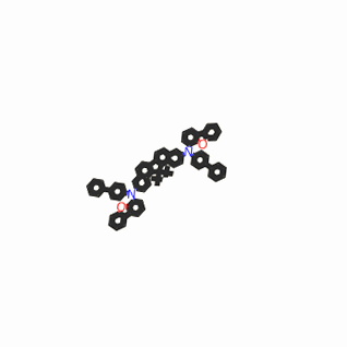 CC(C)(C)C1(C(C)(C)C)c2c(ccc3cc(N(c4ccc(-c5ccccc5)cc4)c4cccc5c4oc4ccccc45)ccc23)-c2ccc3cc(N(c4ccc(-c5ccccc5)cc4)c4cccc5c4oc4ccccc45)ccc3c21